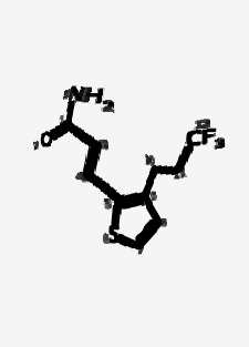 NC(=O)CCc1sccc1CCC(F)(F)F